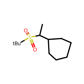 CC(C1CCCCC1)S(=O)(=O)C(C)(C)C